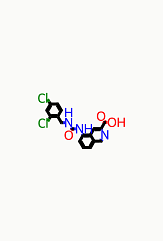 O=C(NCc1ccc(Cl)cc1Cl)Nc1cccc2cnc(C(=O)O)cc12